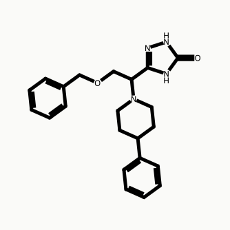 O=c1[nH]nc(C(COCc2ccccc2)N2CCC(c3ccccc3)CC2)[nH]1